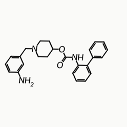 Nc1cccc(CN2CCC(OC(=O)Nc3ccccc3-c3ccccc3)CC2)c1